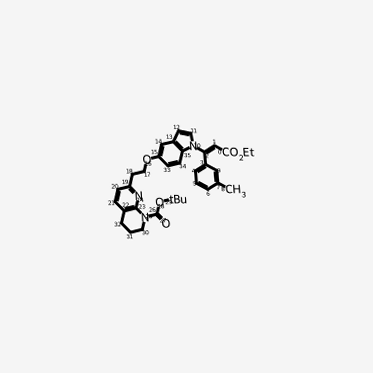 CCOC(=O)C=C(c1cccc(C)c1)n1ccc2cc(OCCc3ccc4c(n3)N(C(=O)OC(C)(C)C)CCC4)ccc21